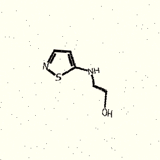 OCCNc1ccns1